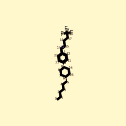 CCCCCC[C@H]1CC[C@H](c2ccc(/C=C/CCC(F)(F)F)cc2)CC1